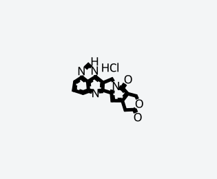 Cl.O=C1Cc2cc3n(c(=O)c2CO1)Cc1c-3nc2cccc3c2c1NC=N3